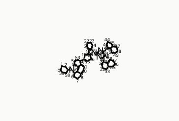 c1ccc(-n2c3cccc4ccc5c(-c6ccc7c(c6)c6ccccc6n7-c6nc(-c7cccc8ccccc78)nc(-c7cccc8ccccc78)n6)ccc2c5c43)cc1